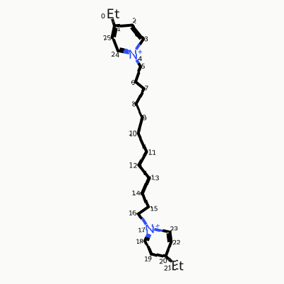 CCc1cc[n+](CCCCCCCCCCCC[N+]2=CCC(CC)C=C2)cc1